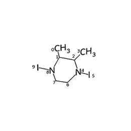 CC1C(C)N(I)CCN1I